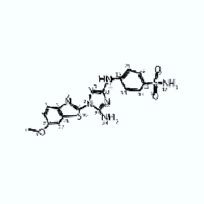 COc1ccc2nc(-n3nc(Nc4ccc(S(N)(=O)=O)cc4)nc3N)sc2c1